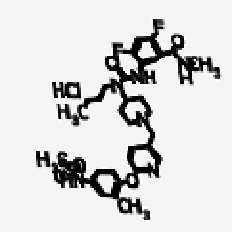 CCCCN(C(=O)Nc1cc(C(=O)NC)c(F)cc1F)C1CCN(Cc2ccc(Oc3ccc(NS(C)(=O)=O)cc3C)nc2)CC1.Cl